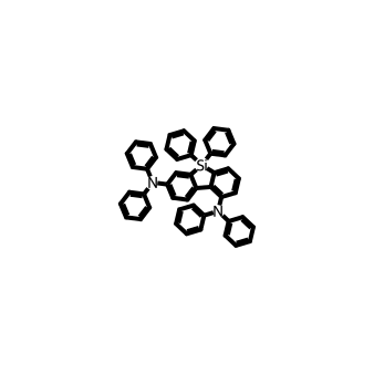 c1ccc(N(c2ccccc2)c2ccc3c(c2)[Si](c2ccccc2)(c2ccccc2)c2cccc(N(c4ccccc4)c4ccccc4)c2-3)cc1